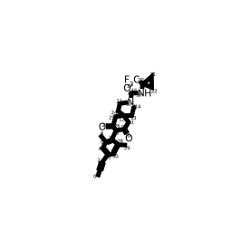 CC#Cc1cc(C)c(C2C(=O)CC3(CCN(C(=O)NC4(C(F)(F)F)CC4)CC3)CC2=O)c(C)c1